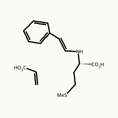 C=CC(=O)O.CSCC[C@H](NC=Cc1ccccc1)C(=O)O